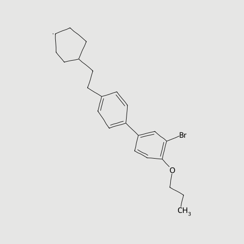 CCCOc1ccc(-c2ccc(CCC3CC[CH]CC3)cc2)cc1Br